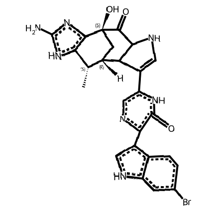 C[C@@H]1c2[nH]c(N)nc2[C@@]2(O)C[C@@H]1C1C(c3cnc(-c4c[nH]c5cc(Br)ccc45)c(=O)[nH]3)=CNC1C2=O